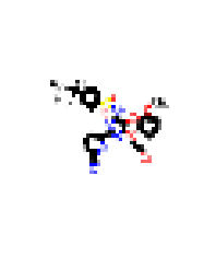 COc1ccccc1Oc1c(NS(=O)(=O)c2ccc(C(C)(C)C)cc2)nc(-c2cccc(C#N)n2)nc1OCCO